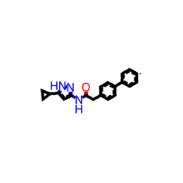 O=C(Cc1ccc(-c2cc[c]cc2)cc1)Nc1cc(C2CC2)[nH]n1